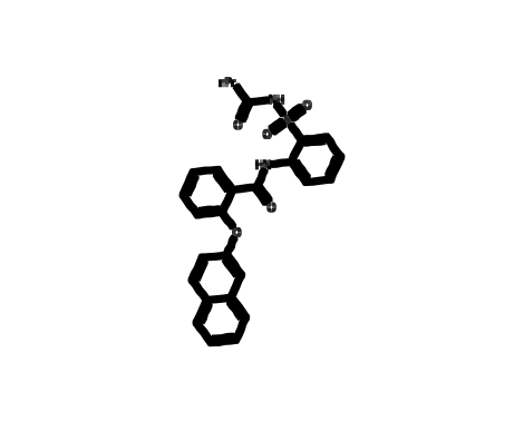 CCCC(=O)NS(=O)(=O)c1ccccc1NC(=O)c1ccccc1Oc1ccc2ccccc2c1